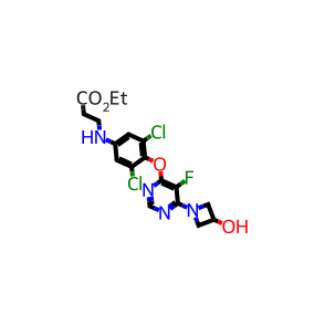 CCOC(=O)CCNc1cc(Cl)c(Oc2ncnc(N3CC(O)C3)c2F)c(Cl)c1